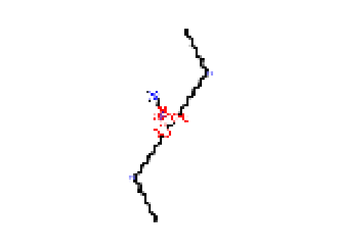 CCCCCCCC/C=C\CCCCCCCC(=O)OC[C@@H](OC(=O)CCCCCCC/C=C\CCCCCCCC)OP(=O)([O-])OCC[N+](C)(C)C